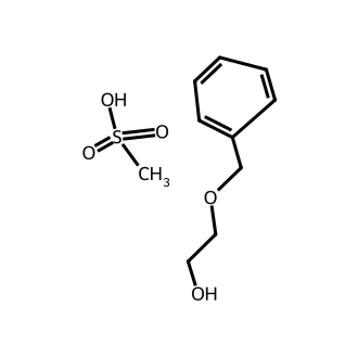 CS(=O)(=O)O.OCCOCc1ccccc1